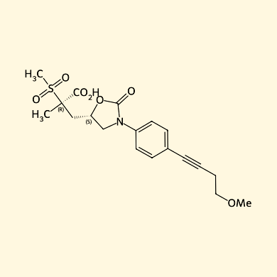 COCCC#Cc1ccc(N2C[C@H](C[C@](C)(C(=O)O)S(C)(=O)=O)OC2=O)cc1